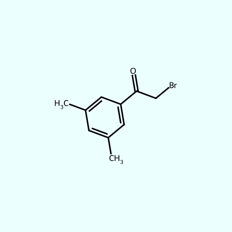 Cc1cc(C)cc(C(=O)CBr)c1